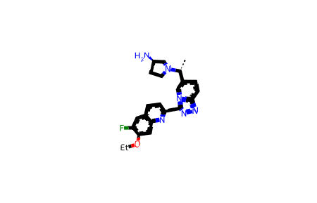 CCOc1cc2nc(-c3nnc4ccc([C@@H](C)N5CC[C@@H](N)C5)cn34)ccc2cc1F